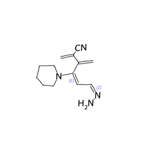 C=C(C#N)C(=C)/C(=C\C=N/N)N1CCCCC1